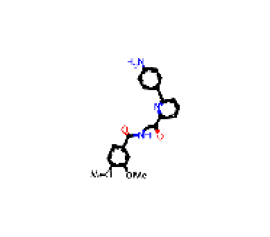 COc1ccc(C(=O)NCC(=O)c2cccc(-c3ccc(N)cc3)n2)cc1OC